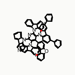 c1ccc(-c2ccc3c(c2)c2cc(-c4ccccc4)ccc2n3-c2c(-n3c4ccccc4c4cnccc43)nc(-n3c4ccccc4c4cnccc43)c(-n3c4ccccc4c4cnccc43)c2-c2ccc3oc4ccccc4c3c2)cc1